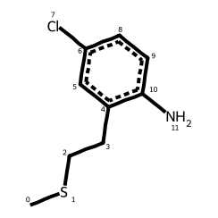 CSCCc1cc(Cl)ccc1N